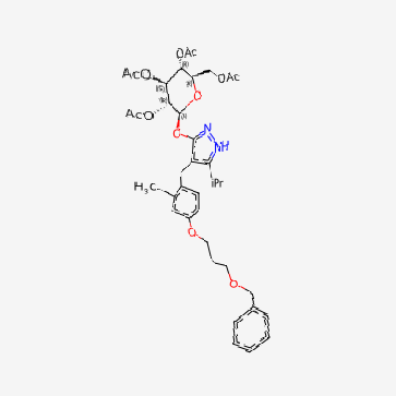 CC(=O)OC[C@H]1O[C@@H](Oc2n[nH]c(C(C)C)c2Cc2ccc(OCCCOCc3ccccc3)cc2C)[C@H](OC(C)=O)[C@@H](OC(C)=O)[C@@H]1OC(C)=O